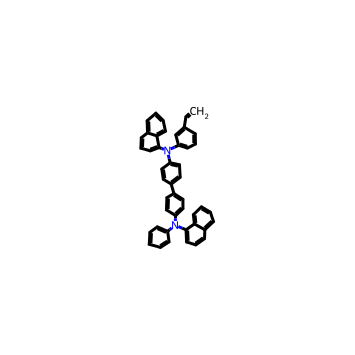 C=Cc1cccc(N(c2ccc(-c3ccc(N(c4ccccc4)c4cccc5ccccc45)cc3)cc2)c2cccc3ccccc23)c1